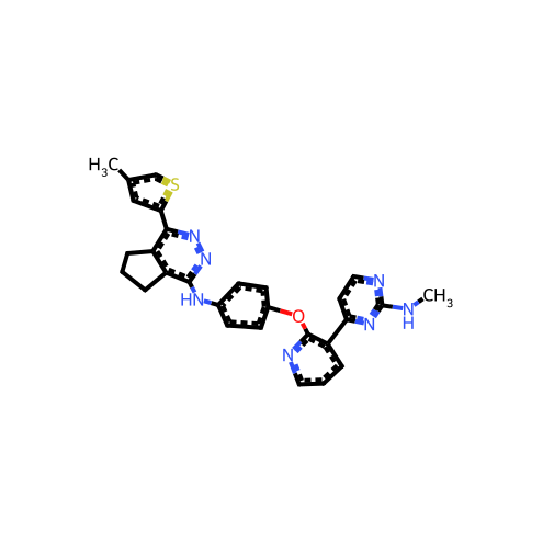 CNc1nccc(-c2cccnc2Oc2ccc(Nc3nnc(-c4cc(C)cs4)c4c3CCC4)cc2)n1